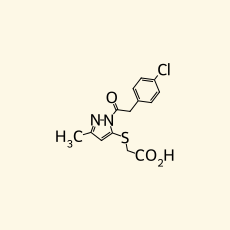 Cc1cc(SCC(=O)O)n(C(=O)Cc2ccc(Cl)cc2)n1